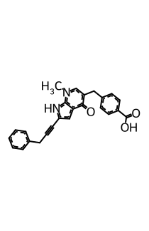 Cn1cc(Cc2ccc(C(=O)O)cc2)c(=O)c2cc(C#CCc3ccccc3)[nH]c21